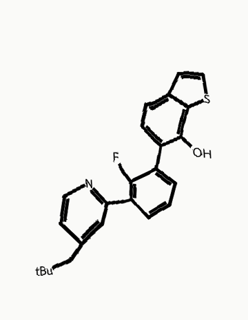 CC(C)(C)Cc1ccnc(-c2cccc(-c3ccc4ccsc4c3O)c2F)c1